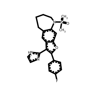 C=S(C)(=O)N1CCCCc2cc3c(-c4ncc[nH]4)c(-c4ccc(F)cc4)oc3cc21